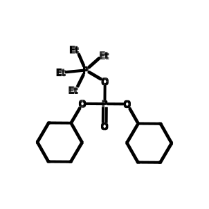 CCP(CC)(CC)(CC)OP(=O)(OC1CCCCC1)OC1CCCCC1